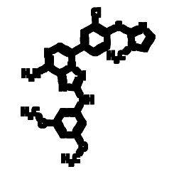 COc1cc(Nc2nc3c(N)ncc(-c4ccc(Sc5nccn5C)c(Cl)c4)n3n2)cc(OC)c1